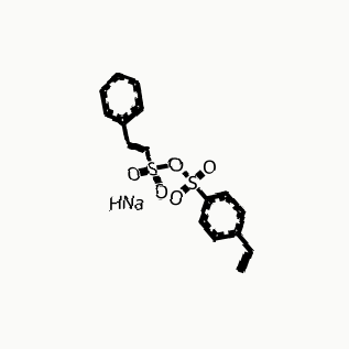 C=Cc1ccc(S(=O)(=O)OS(=O)(=O)C=Cc2ccccc2)cc1.[NaH]